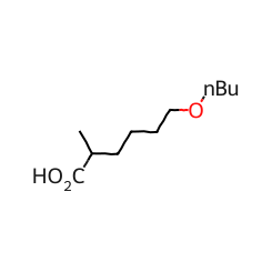 CCCCOCCCCC(C)C(=O)O